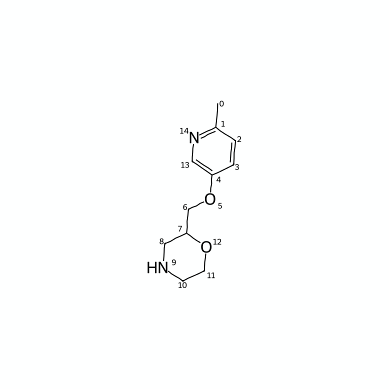 Cc1ccc(OCC2CNCCO2)cn1